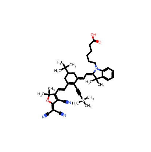 CC1(C)OC(=C(C#N)C#N)C(C#N)=C1C=CC1=C(C#C[Si](C)(C)C)C(=CC=C2N(CCCCCC(=O)O)c3ccccc3C2(C)C)CC(C(C)(C)C)C1